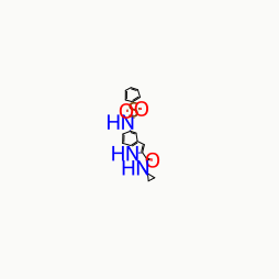 O=C(NC1CC1)c1cc2cc(NCS(=O)(=O)c3ccccc3)ccc2[nH]1